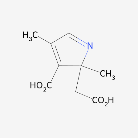 CC1=C(C(=O)O)C(C)(CC(=O)O)N=C1